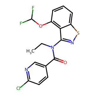 CCN(C(=O)c1ccc(Cl)nc1)c1nsc2cccc(OC(F)F)c12